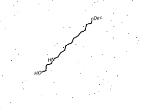 CCCCCCCCCCCCCCCCCCCCCNCCCO